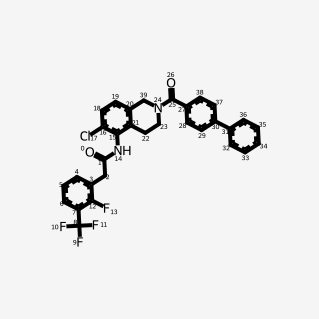 O=C(Cc1cccc(C(F)(F)F)c1F)Nc1c(Cl)ccc2c1CCN(C(=O)c1ccc(-c3ccccc3)cc1)C2